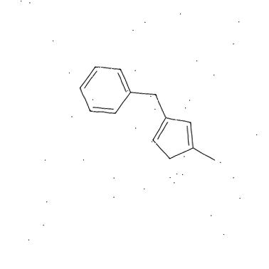 CC1=CC(Cc2ccccc2)=CC1